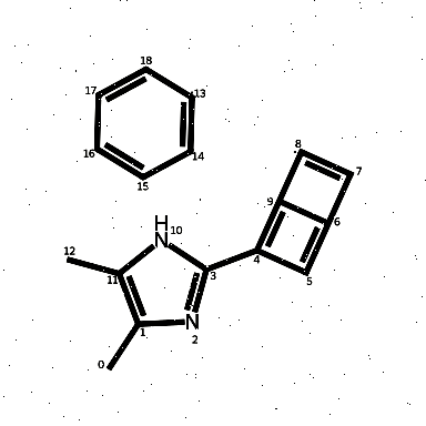 Cc1nc(-c2cc3c[c]c2-3)[nH]c1C.[c]1ccccc1